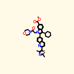 COC(=O)c1ccc2c(C3CCCCC3)c(-c3ccc4nc(-c5sc(C)nc5C)ccc4c3)n(CC(=O)N3CCOCC3)c2c1